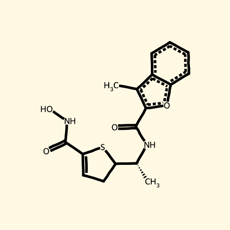 Cc1c(C(=O)N[C@H](C)C2CC=C(C(=O)NO)S2)oc2ccccc12